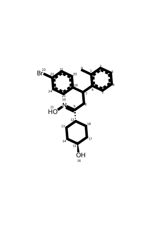 Cc1ccccc1C(CC(=NO)[C@H]1CC[C@H](O)CC1)c1ccc(Br)cc1